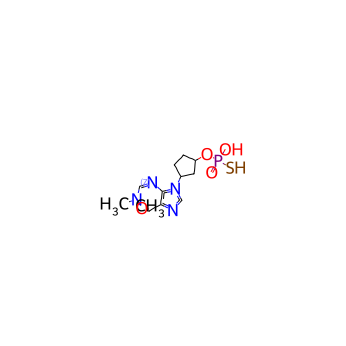 CN(C)/C=N\c1c(C=O)ncn1C1CCC(OP(=O)(O)S)C1